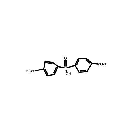 CCCCCCCCc1ccc(P(=O)(O)c2ccc(CCCCCCCC)cc2)cc1